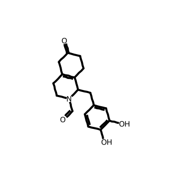 O=CN1CCC2=C(CCC(=O)C2)C1Cc1ccc(O)c(O)c1